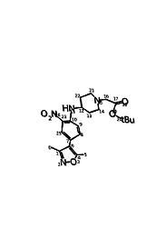 Cc1noc(C)c1-c1ccc(NC2CCN(CC(=O)OC(C)(C)C)CC2)c([N+](=O)[O-])c1